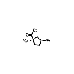 CCC(=O)[C@@]1(C)CC[C@H](C(C)C)C1